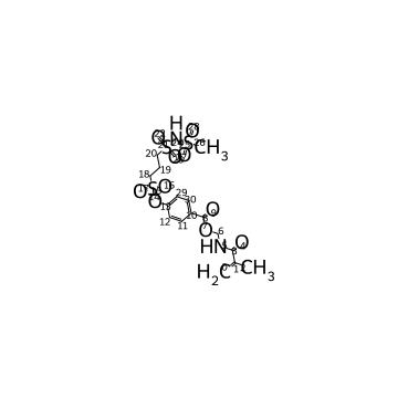 C=C(C)C(=O)NCOC(=O)c1ccc(OS(=O)(=O)CCCS(=O)(=O)NS(C)(=O)=O)cc1